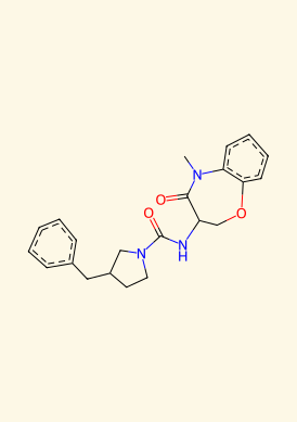 CN1C(=O)C(NC(=O)N2CCC(Cc3ccccc3)C2)COc2ccccc21